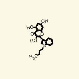 CCCCn1cc(-c2oc3cc(O)cc(O)c3c(=O)c2O)c2ccccc21